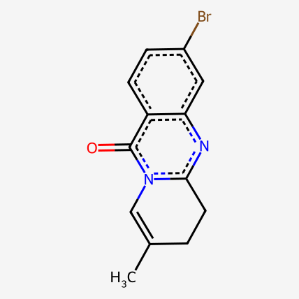 CC1=Cn2c(nc3cc(Br)ccc3c2=O)CC1